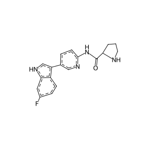 O=C(Nc1ccc(-c2c[nH]c3cc(F)ccc23)cn1)C1CCCN1